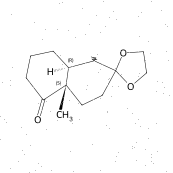 C[C@]12CCC3(OCCO3)C3(CCCC3)[C@@H]1CCCC2=O